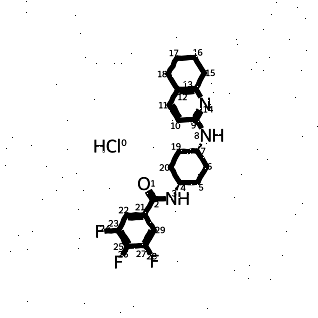 Cl.O=C(N[C@H]1CC[C@@H](Nc2ccc3c(n2)CCCC3)CC1)c1cc(F)c(F)c(F)c1